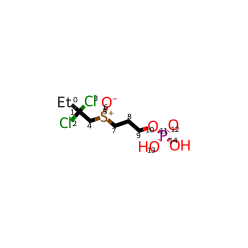 CCC(Cl)(Cl)C[S+]([O-])CCCOP(=O)(O)O